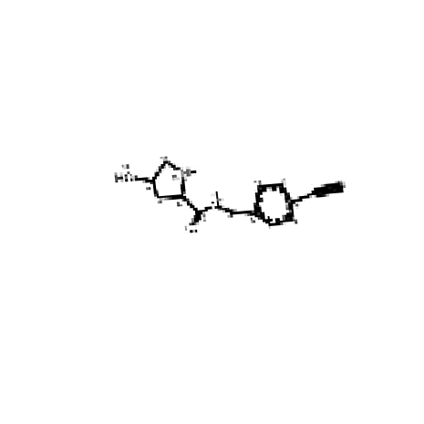 C#Cc1ccc(CNC(=O)C2CC(O)CN2)cc1